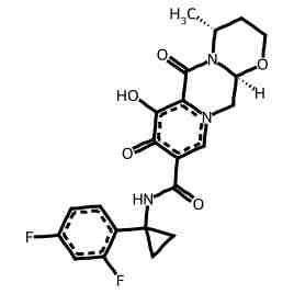 C[C@@H]1CCO[C@H]2Cn3cc(C(=O)NC4(c5ccc(F)cc5F)CC4)c(=O)c(O)c3C(=O)N12